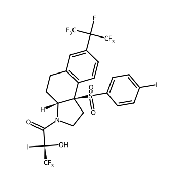 O=C(N1CC[C@@]2(S(=O)(=O)c3ccc(I)cc3)c3ccc(C(F)(C(F)(F)F)C(F)(F)F)cc3CC[C@@H]12)[C@](O)(I)C(F)(F)F